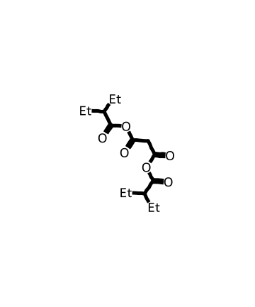 CCC(CC)C(=O)OC(=O)CC(=O)OC(=O)C(CC)CC